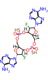 C[C@H]1O[P@@](=O)(S)O[C@H]2[C@@H](F)[C@H](n3cnc4c(N)ncnc43)O[C@@H]2CO[P@](=O)(S)O[C@H]2[C@@H](F)[C@H](n3cnc4c(N)ncnc43)O[C@@H]21